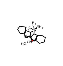 CCC1=CC2=C(CCCC2)[CH]1[Ti]([CH3])([CH3])(=[SiH2])[CH]1C(CC)=CC2=C1CCCC2.Cl.Cl